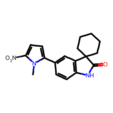 Cn1c(-c2ccc3c(c2)C2(CCCCC2)C(=O)N3)ccc1[N+](=O)[O-]